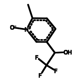 Cc1ccc(C(O)C(F)(F)F)c[n+]1[O-]